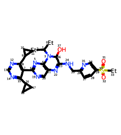 CCC(CC)N1c2nc(-c3c(C4CC4)ncnc3C3CC3)ncc2N=C(NCc2ccc(S(=O)(=O)CC)cn2)C1O